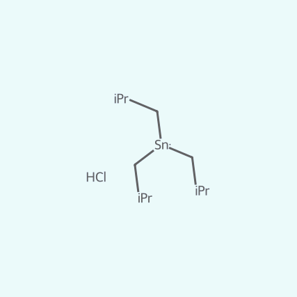 CC(C)[CH2][Sn]([CH2]C(C)C)[CH2]C(C)C.Cl